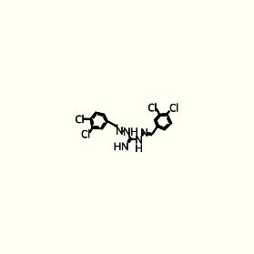 N=C(NN=Cc1ccc(Cl)c(Cl)c1)NN=Cc1ccc(Cl)c(Cl)c1